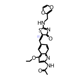 CCOc1cc(NC(C)=O)nc2ccc(/C=C3/SC(NCC4=COC=CO4)=NC3=O)cc12